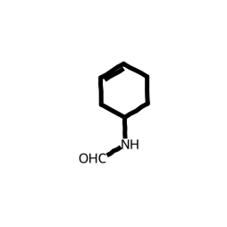 O=CNC1CC=CCC1